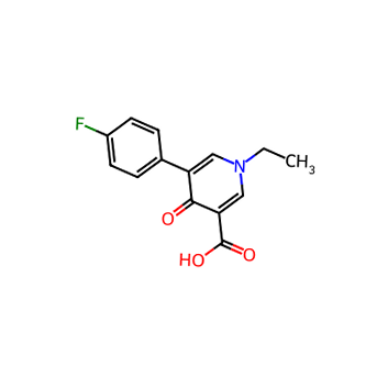 CCn1cc(C(=O)O)c(=O)c(-c2ccc(F)cc2)c1